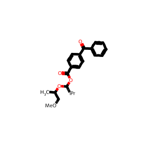 COCC(C)OC(OC(=O)c1ccc(C(=O)c2ccccc2)cc1)C(C)C